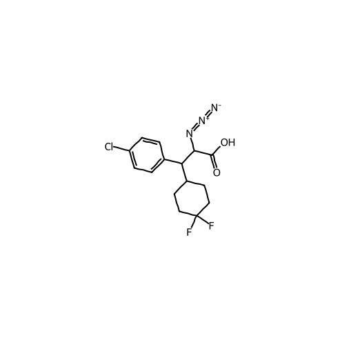 [N-]=[N+]=NC(C(=O)O)C(c1ccc(Cl)cc1)C1CCC(F)(F)CC1